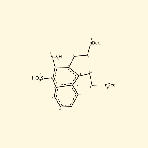 CCCCCCCCCCCCc1c(S(=O)(=O)O)c(S(=O)(=O)O)c2ccccc2c1CCCCCCCCCCCC